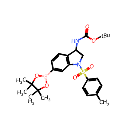 Cc1ccc(S(=O)(=O)N2CC(NC(=O)OC(C)(C)C)c3ccc(B4OC(C)(C)C(C)(C)O4)cc32)cc1